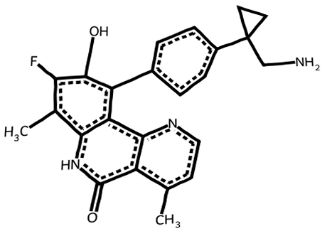 Cc1c(F)c(O)c(-c2ccc(C3(CN)CC3)cc2)c2c1[nH]c(=O)c1c(C)ccnc12